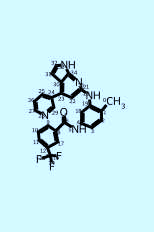 Cc1ccc(NC(=O)c2cccc(C(F)(F)F)c2)cc1Nc1cc(-c2cccnc2)c2cc[nH]c2n1